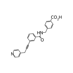 O=C(O)c1ccc(CNC(=O)c2cccc(C#CCc3ccncc3)c2)cc1